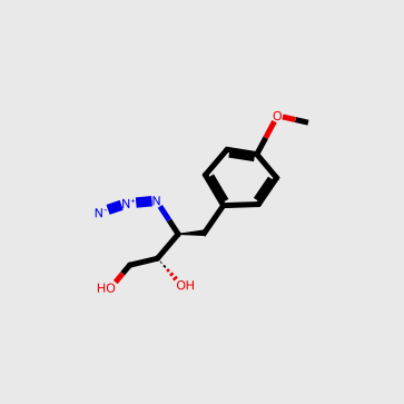 COc1ccc(C[C@H](N=[N+]=[N-])[C@H](O)CO)cc1